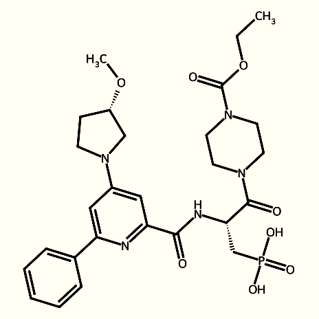 CCOC(=O)N1CCN(C(=O)[C@H](CP(=O)(O)O)NC(=O)c2cc(N3CC[C@H](OC)C3)cc(-c3ccccc3)n2)CC1